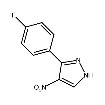 O=[N+]([O-])c1c[nH]nc1-c1ccc(F)cc1